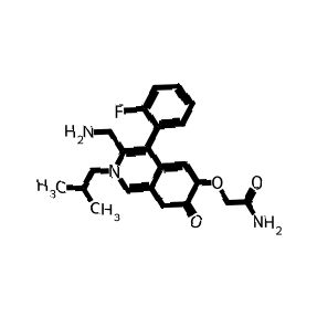 CC(C)CN1C=C2CC(=O)C(OCC(N)=O)C=C2C(c2ccccc2F)=C1CN